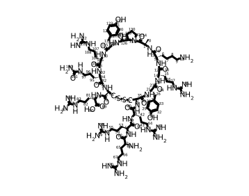 C[C@H]1NC(=O)[C@H](CCCCN)NC(=O)[C@H](CCCNC(=N)N)NC(=O)[C@H](Cc2ccc(O)cc2)NC(=O)[C@@H](NC(=O)[C@H](CCCNC(=N)N)NC(=O)[C@H](CCCNC(=N)N)NC(=O)[C@@H](N)CCCNC(=N)N)CSSC[C@@H](C(=O)N[C@@H](CCCNC(=N)N)C(=O)O)NC(=O)[C@H](CCCNC(N)=O)NC(=O)[C@H](CCCNC(=N)N)NC(=O)[C@H](Cc2ccc(O)cc2)NC(=O)[C@@H]2CCCN2C1=O